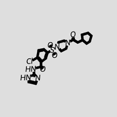 O=C(Nc1ncc[nH]1)c1cc(S(=O)(=O)N2CCN(C(=O)CC3CCCCC3)CC2)ccc1Cl